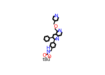 CC(C)(C)OC(=O)NCc1ccc(-c2nc3ccnc(COCc4ccncc4)c3cc2-c2ccccc2)cc1